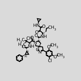 CCC[C@H](NC(=O)[C@@H]1C[C@]2(CC(c3cc(Cl)c(OC)cc3OC)=NO2)CN1C(=O)[C@@H](NC(=O)[C@@H]1C[C@H]1c1ccccc1)C(C)(C)C)C(=O)C(=O)NC1CC1